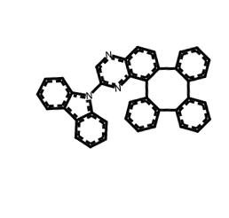 c1ccc2c(c1)-c1ccccc1-c1ccc3ncc(-n4c5ccccc5c5ccccc54)nc3c1-c1ccccc1-2